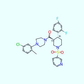 Cc1ccc(Cl)cc1N1CCN(C(=O)[C@@H]2CN(S(=O)(=O)c3cccnc3)CC[C@H]2c2ccc(F)cc2F)CC1